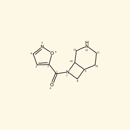 O=C(c1ccno1)N1CC2CCNCC21